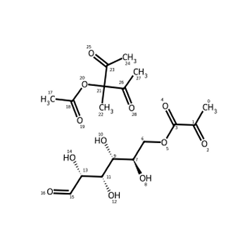 CC(=O)C(=O)OC[C@@H](O)[C@@H](O)[C@H](O)[C@@H](O)C=O.CC(=O)OC(C)(C(C)=O)C(C)=O